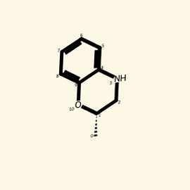 C[C@H]1CNc2ccccc2O1